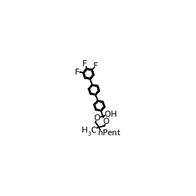 CCCCCC1(C)COC(O)(c2ccc(-c3ccc(-c4cc(F)c(F)c(F)c4)cc3)cc2)OC1